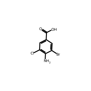 Nc1c(Cl)cc(C(=O)O)cc1Br